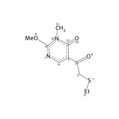 CCSCC(=O)c1cnc(OC)n(C)c1=O